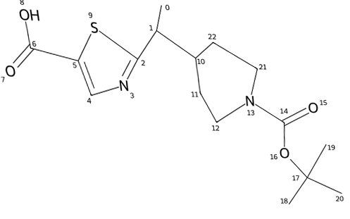 CC(c1ncc(C(=O)O)s1)C1CCN(C(=O)OC(C)(C)C)CC1